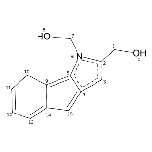 OCc1cc2c(n1CO)=C1CC=CC=C1C=2